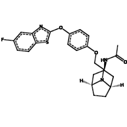 CC(=O)N[C@H]1C[C@H]2CC[C@@H](C1)N2CCOc1ccc(Oc2nc3cc(F)ccc3s2)cc1